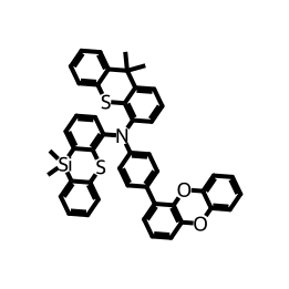 CC1(C)c2ccccc2Sc2c(N(c3ccc(-c4cccc5c4Oc4ccccc4O5)cc3)c3cccc4c3Sc3ccccc3[Si]4(C)C)cccc21